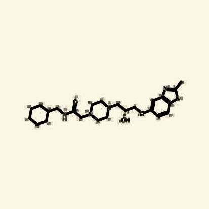 Cc1nc2cc(OC[C@H](O)CN3CCN(CC(=O)NCC4CCCCC4)CC3)ccc2s1